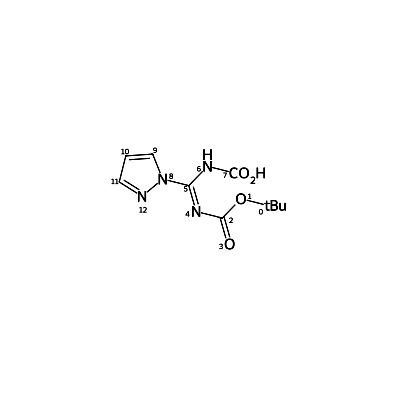 CC(C)(C)OC(=O)N=C(NC(=O)O)n1cccn1